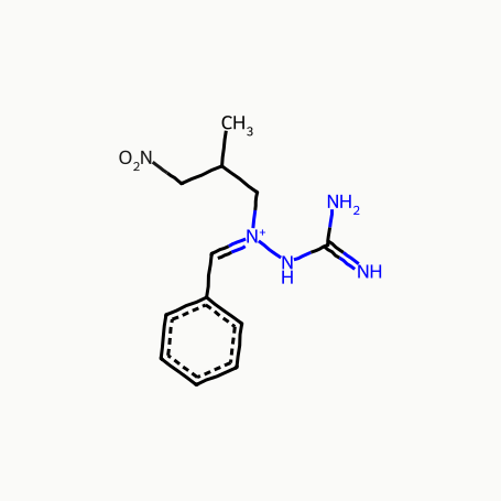 CC(C[N+](=O)[O-])C[N+](=Cc1ccccc1)NC(=N)N